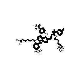 Cc1ccc2c(c1)C(C)(C)C(/C=C/C1=C(Oc3ccc(S(=O)(=O)O)cc3)C(=C/C=C3/N(CCCCCC(=O)O)c4ccc(S(=O)(=O)O)cc4C3(C)C)/CCC1)=[N+]2CCCCS(=O)(=O)O